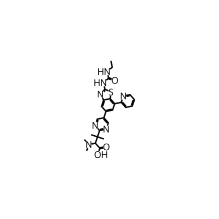 CCNC(=O)Nc1nc2cc(-c3cnc(C(C)(C)C(C(=O)O)N(C)C)nc3)cc(-c3ccccn3)c2s1